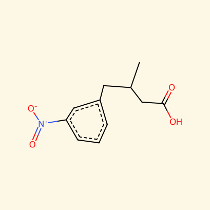 CC(CC(=O)O)Cc1cccc([N+](=O)[O-])c1